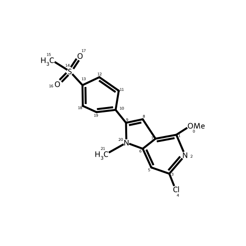 COc1nc(Cl)cc2c1cc(-c1ccc(S(C)(=O)=O)cc1)n2C